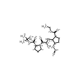 CCOC(=O)C1CCC(SN=O)C1N[C@@H](C)C(=O)N1CCC[C@H]1C(=O)OC(C)(C)C